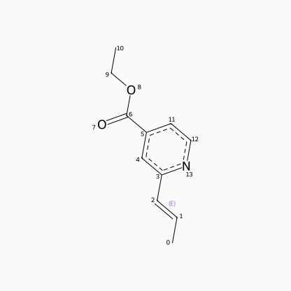 C/C=C/c1cc(C(=O)OCC)ccn1